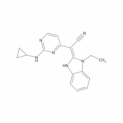 CCN1/C(=C(\C#N)c2ccnc(NC3CC3)n2)Nc2ccccc21